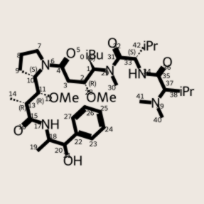 CC[C@H](C)C([C@@H](CC(=O)N1CCC[C@H]1[C@H](OC)[C@@H](C)C(=O)NC(C)C(O)c1ccccc1)OC)N(C)C(=O)[C@@H](NC(=O)C(C(C)C)N(C)C)C(C)C